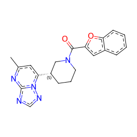 Cc1cc([C@H]2CCCN(C(=O)c3cc4ccccc4o3)C2)n2ncnc2n1